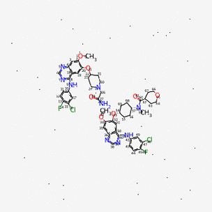 COc1cc2ncnc(Nc3ccc(F)c(Cl)c3)c2cc1OC1CCN(CC(N)=O)CC1.COc1cc2ncnc(Nc3ccc(F)c(Cl)c3)c2cc1O[C@H]1CC[C@@H](N(C)C(=O)C2CCOCC2)CC1